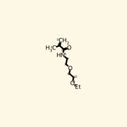 C=C(C)C(=O)NCCOCCOCC